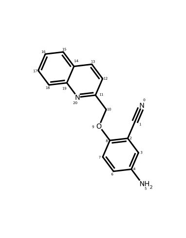 N#Cc1cc(N)ccc1OCc1ccc2ccccc2n1